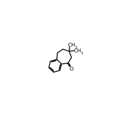 CC1(C)CCc2ccccc2C(=O)C1